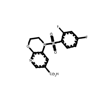 O=C(O)c1cnc2c(c1)N(S(=O)(=O)c1ccc(F)cc1F)CCO2